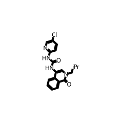 CC(C)Cn1cc(NC(=O)Nc2ccc(Cl)cn2)c2ccccc2c1=O